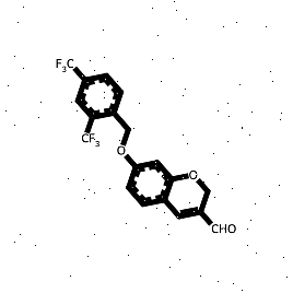 O=CC1=Cc2ccc(OCc3ccc(C(F)(F)F)cc3C(F)(F)F)cc2OC1